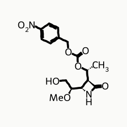 CO[C@@H](CO)[C@H]1NC(=O)[C@@H]1[C@@H](C)OC(=O)OCc1ccc([N+](=O)[O-])cc1